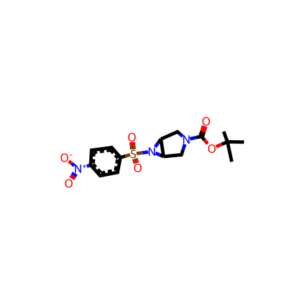 CC(C)(C)OC(=O)N1CC2C(C1)N2S(=O)(=O)c1ccc([N+](=O)[O-])cc1